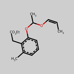 C/C=C\OC(C)Oc1cccc(C)c1CC(=O)OCC